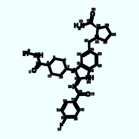 CC(C)NC(=O)C1CCC(n2/c(=N/C(=O)c3ccc(F)cc3)[nH]c3ccc(CN4CCC[C@H]4C(N)=O)cc32)CC1